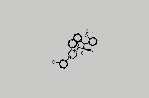 COc1ccccc1C(c1cccc2ccccc12)[C@@](C)(C#N)C(=O)N1CCN(c2cccc(Cl)c2)CC1